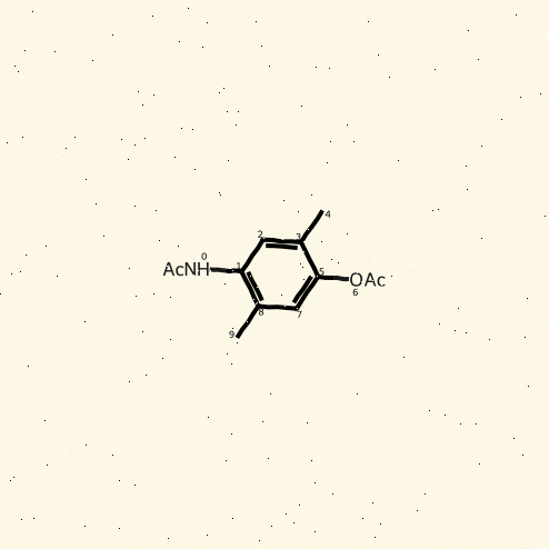 CC(=O)Nc1cc(C)c(OC(C)=O)cc1C